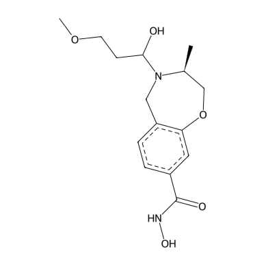 COCCC(O)N1Cc2ccc(C(=O)NO)cc2OC[C@@H]1C